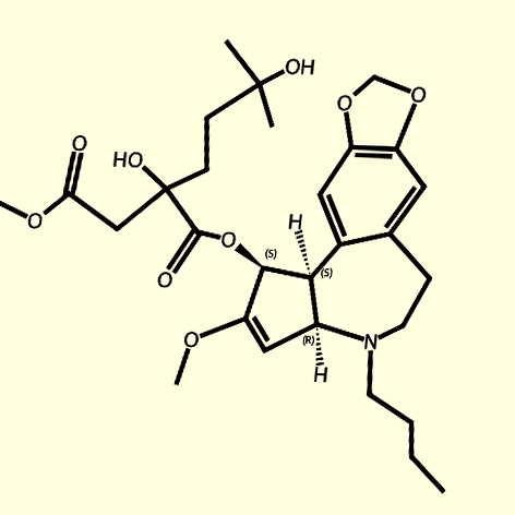 CCCCN1CCc2cc3c(cc2[C@@H]2[C@H](OC(=O)C(O)(CCC(C)(C)O)CC(=O)OC)C(OC)=C[C@@H]21)OCO3